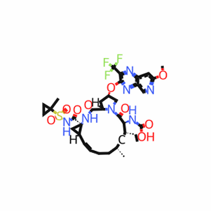 CC[C@@H]1C[C@H](C)CCC=C[C@@H]2C[C@@]2(C(=O)NS(=O)(=O)C2(C)CC2)NC(=O)[C@@H]2C[C@@H](Oc3nc4cnc(OC)cc4nc3C(F)(F)F)CN2C(=O)[C@H]1NC(=O)O